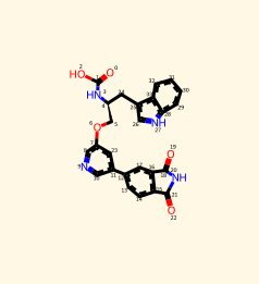 O=C(O)N[C@H](COc1cncc(-c2ccc3c(c2)C(=O)NC3=O)c1)Cc1c[nH]c2ccccc12